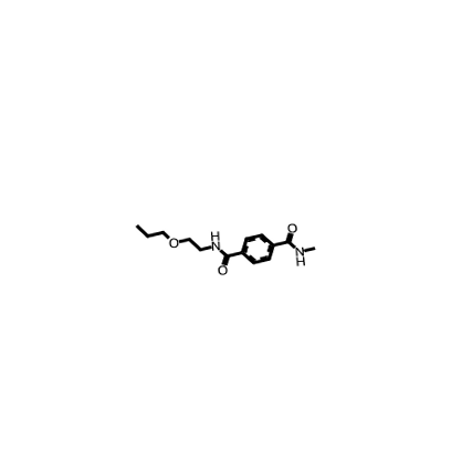 CCCOCCNC(=O)c1ccc(C(=O)NC)cc1